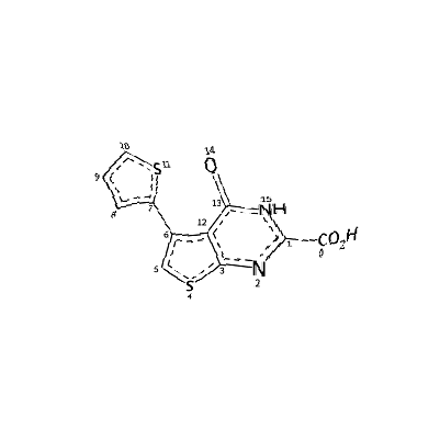 O=C(O)c1nc2scc(-c3cccs3)c2c(=O)[nH]1